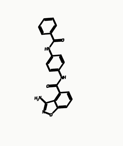 Nc1noc2cccc(C(=O)Nc3ccc(NC(=O)c4ccccc4)cc3)c12